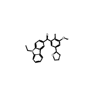 CCn1c2ccccc2c2cc(C(=O)c3cc(C4CCCO4)cc(OC)c3C)ccc21